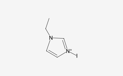 CCn1cc[n+](I)c1